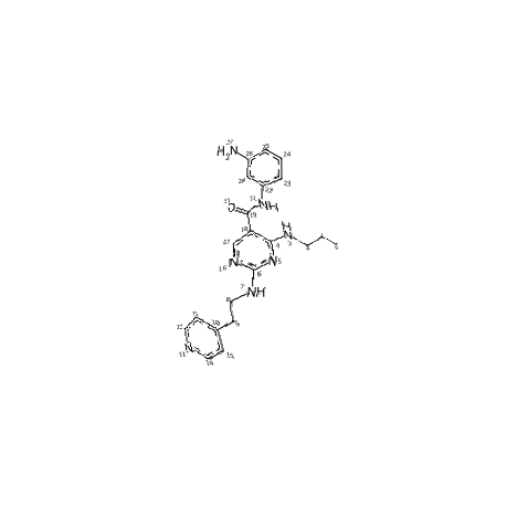 CCCNc1nc(NCCc2ccncc2)ncc1C(=O)Nc1cccc(N)c1